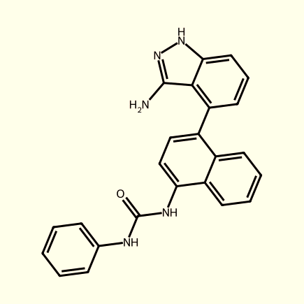 Nc1n[nH]c2cccc(-c3ccc(NC(=O)Nc4ccccc4)c4ccccc34)c12